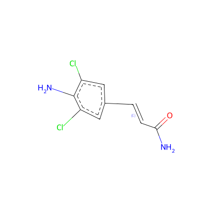 NC(=O)/C=C/c1cc(Cl)c(N)c(Cl)c1